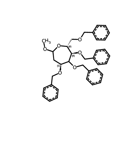 COC1C[C@H](OCc2ccccc2)C(OCc2ccccc2)[C@H](OCc2ccccc2)[C@@H](COCc2ccccc2)O1